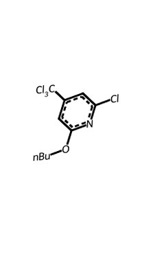 CCCCOc1cc(C(Cl)(Cl)Cl)cc(Cl)n1